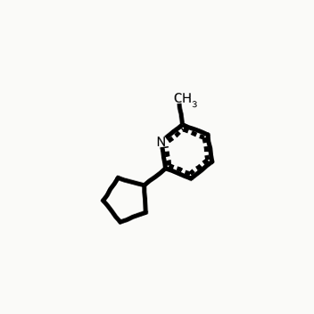 Cc1cccc(C2CCCC2)n1